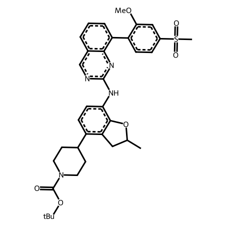 COc1cc(S(C)(=O)=O)ccc1-c1cccc2cnc(Nc3ccc(C4CCN(C(=O)OC(C)(C)C)CC4)c4c3OC(C)C4)nc12